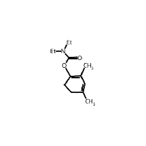 CCN(CC)C(=O)OC1=C(C)C=C(C)C[CH]1